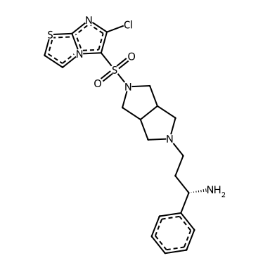 N[C@@H](CCN1CC2CN(S(=O)(=O)c3c(Cl)nc4sccn34)CC2C1)c1ccccc1